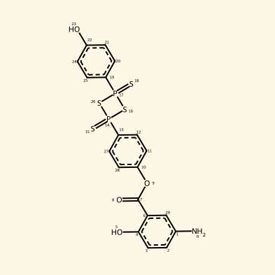 Nc1ccc(O)c(C(=O)Oc2ccc(P3(=S)SP(=S)(c4ccc(O)cc4)S3)cc2)c1